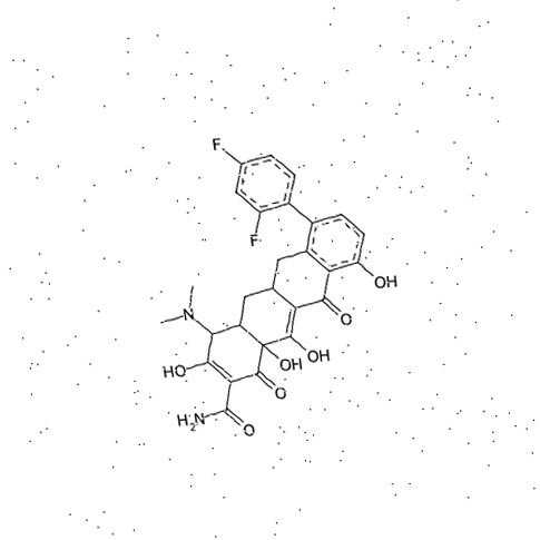 CN(C)C1C(O)=C(C(N)=O)C(=O)C2(O)C(O)=C3C(=O)c4c(O)ccc(-c5ccc(F)cc5F)c4CC3CC12